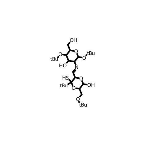 CC(C)(C)OCC1OC(S)(C(C)(C)C)C(/C=N/C2C(OC(C)(C)C)OC(CO)C(OC(C)(C)C)C2O)OC1O